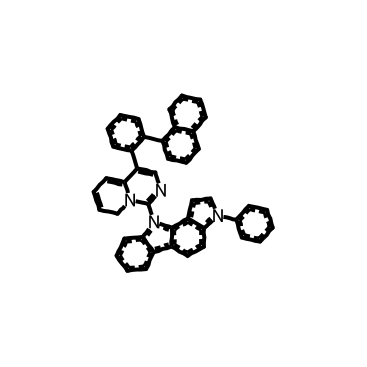 C1=CCN2C(=C1)C(c1ccccc1-c1cccc3ccccc13)=CN=C2n1c2ccccc2c2ccc3c(ccn3-c3ccccc3)c21